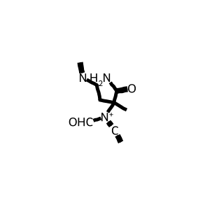 C=C=[N+](C=O)C(C)(CCN=C)C(N)=O